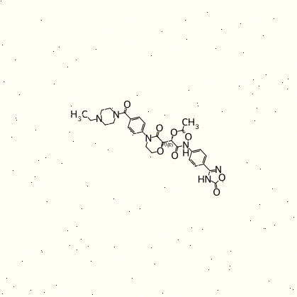 CCN1CCN(C(=O)c2ccc(N3CCO[C@H]([C@@H](OC(C)=O)C(=O)Nc4ccc(-c5noc(=O)[nH]5)cc4)C3=O)cc2)CC1